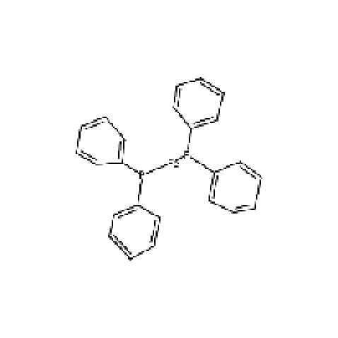 c1ccc([P]([Fe][P](c2ccccc2)c2ccccc2)c2ccccc2)cc1